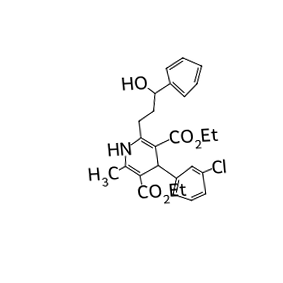 CCOC(=O)C1=C(C)NC(CCC(O)c2ccccc2)=C(C(=O)OCC)C1c1cccc(Cl)c1